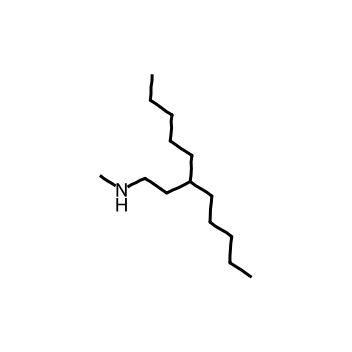 CCCCCC(CCCCC)CCNC